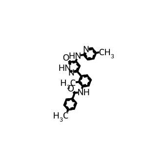 Cc1ccc(C(=O)Nc2cccc(-c3cc(Nc4ccc(C)cn4)c(=O)[nH]n3)c2C)cc1